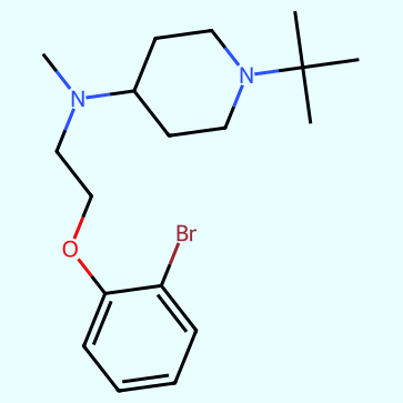 CN(CCOc1ccccc1Br)C1CCN(C(C)(C)C)CC1